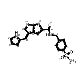 NS(=O)(=O)c1ccc(CNC(=O)c2cc3c(s2)N=CC3=Cc2ccc[nH]2)cc1